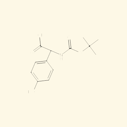 CC(C)(C)OC(=O)N[C@](C)(C(=O)O)c1ccc(O)cc1